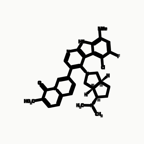 CNc1cc(F)c(Cl)c2c1[nH]c1ncc(-c3ccc4ccc(C(=O)O)c(=O)n4c3)c(N3C[C@H]4CC[C@@H](N(C)C)[C@H]4C3)c12